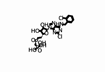 O=P(O)(O)CP(=O)(O)CC[C@H]1O[C@@H](n2cnc3c(NCc4ccccc4Cl)nc(Cl)nc32)C(O)C1O